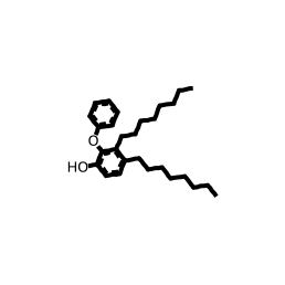 CCCCCCCCc1ccc(O)c(Oc2ccccc2)c1CCCCCCCC